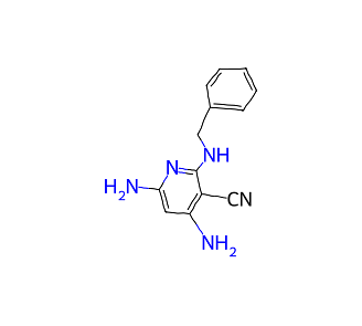 N#Cc1c(N)cc(N)nc1NCc1ccccc1